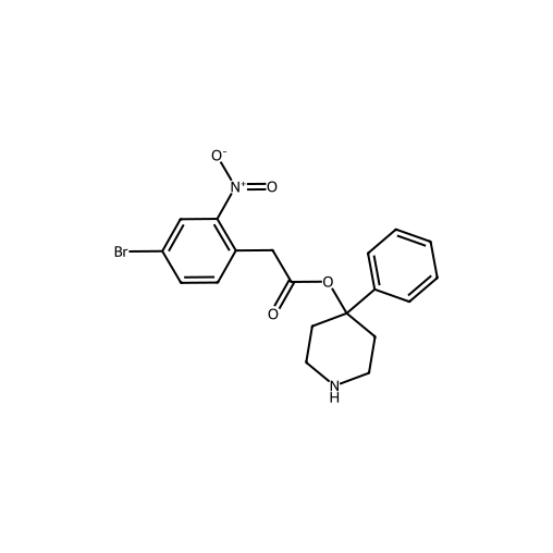 O=C(Cc1ccc(Br)cc1[N+](=O)[O-])OC1(c2ccccc2)CCNCC1